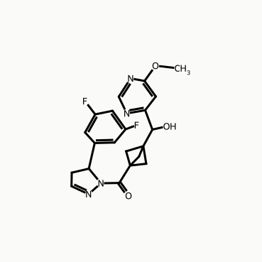 COc1cc(C(O)C23CC(C(=O)N4N=CCC4c4cc(F)cc(F)c4)(C2)C3)ncn1